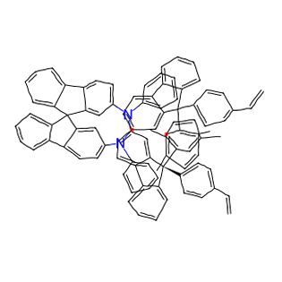 C=Cc1ccc(C2(c3cc(C)ccc3C)c3ccccc3-c3ccc(N(c4ccccc4)c4ccc5c(c4)C4(c6ccccc6-5)c5ccccc5-c5ccc(N(c6ccccc6)c6ccc7c(c6)[C@](c6ccc(C=C)cc6)(c6cc(C)ccc6C)c6ccccc6-7)cc54)cc32)cc1